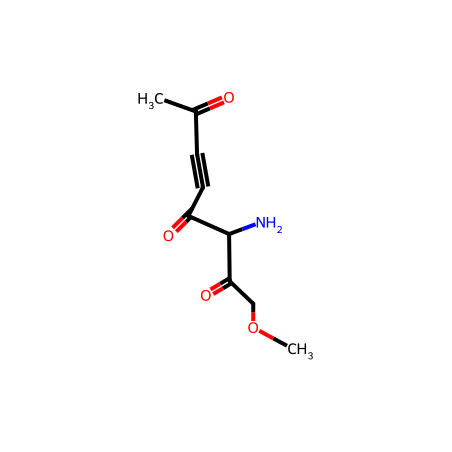 COCC(=O)C(N)C(=O)C#CC(C)=O